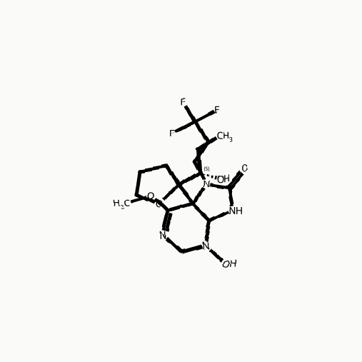 CC[C@H](O)C1(C23C(OC)=NCN(O)C2NC(=O)N3CCC(F)(F)F)CCCO1